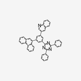 c1ccc(-c2nc(-c3ccccc3)nc(-c3cc(-c4cnc5ccccc5c4)cc(-c4cc5ccccc5c5ccccc45)c3)n2)cc1